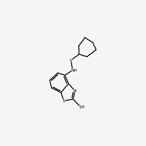 Sc1nc2c(NSC3CCCCC3)cccc2s1